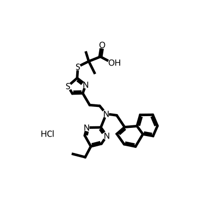 CCc1cnc(N(CCc2csc(SC(C)(C)C(=O)O)n2)Cc2cccc3ccccc23)nc1.Cl